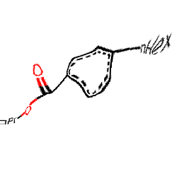 CCCCCCc1ccc(C(=O)OCCC)cc1